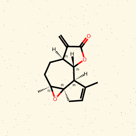 C=C1C(=O)O[C@@H]2[C@H]3C(C)=CC[C@@]34O[C@@]4(C)CC[C@@H]12